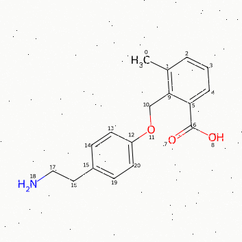 Cc1cccc(C(=O)O)c1COc1ccc(CCN)cc1